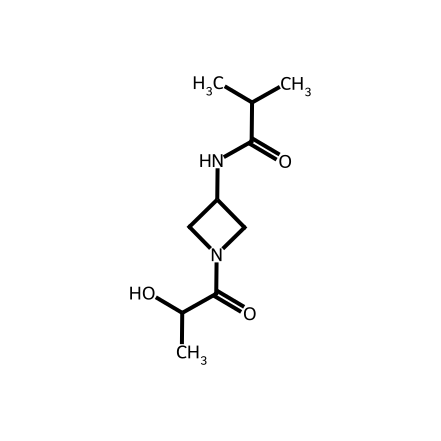 CC(C)C(=O)NC1CN(C(=O)C(C)O)C1